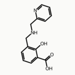 O=C(O)c1cccc(CNCc2ccccn2)c1O